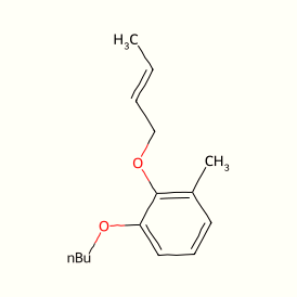 CC=CCOc1c(C)cccc1OCCCC